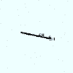 CCCCCCCCCCCCCCCCCCCC(O)CCCCCCCCCC(=O)O